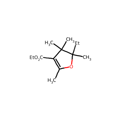 CCOC(=O)C1=C(C)OC(C)(CC)C1(C)C